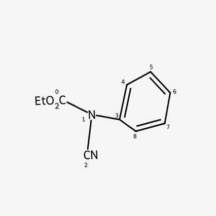 CCOC(=O)N(C#N)c1ccccc1